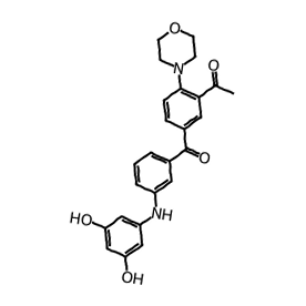 CC(=O)c1cc(C(=O)c2cccc(Nc3cc(O)cc(O)c3)c2)ccc1N1CCOCC1